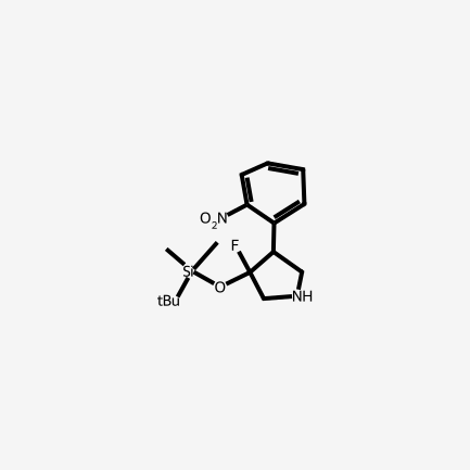 CC(C)(C)[Si](C)(C)OC1(F)CNCC1c1ccccc1[N+](=O)[O-]